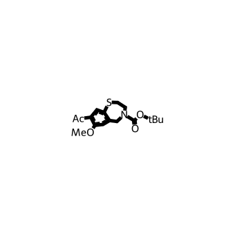 COc1cc2c(cc1C(C)=O)SCCN(C(=O)OC(C)(C)C)C2